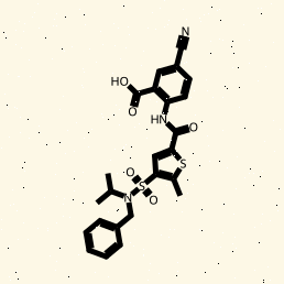 Cc1sc(C(=O)Nc2ccc(C#N)cc2C(=O)O)cc1S(=O)(=O)N(Cc1ccccc1)C(C)C